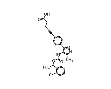 Cc1noc(-c2ccc(C#CCCC(=O)O)cc2)c1NC(=O)OC(C)c1ccccc1Cl